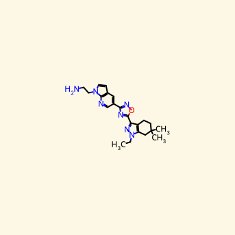 CCn1nc(-c2nc(-c3cnc4c(ccn4CCN)c3)no2)c2c1CC(C)(C)CC2